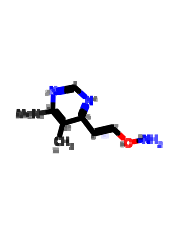 CNc1ncnc(/C=C/ON)c1C